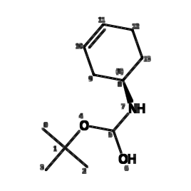 CC(C)(C)OC(O)N[C@H]1CC=CCC1